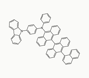 c1ccc(N(c2ccc(-n3c4ccccc4c4ccccc43)cc2)c2c3ccccc3c(-c3c4ccccc4c(-c4cccc5ccccc45)c4ccccc34)c3ccccc23)cc1